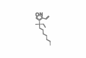 C=Cc1nocc1C(C)(CC)CCCCCCC